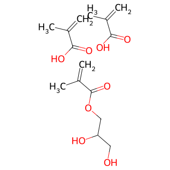 C=C(C)C(=O)O.C=C(C)C(=O)O.C=C(C)C(=O)OCC(O)CO